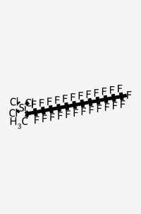 CC(C(F)(F)C(F)(F)C(F)(F)C(F)(F)C(F)(F)C(F)(F)C(F)(F)C(F)(F)C(F)(F)C(F)(F)C(F)(F)C(F)(F)F)[Si](Cl)(Cl)Cl